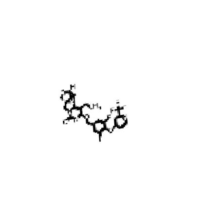 CCc1c(OCc2cc(F)c(Oc3ccnc(C(F)(F)F)c3)c(F)c2)nc(=O)n2c1N1C[C@@H]3C[C@]1(CO3)C2